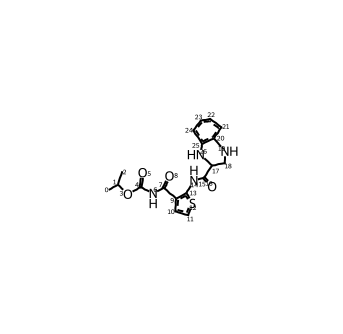 CC(C)OC(=O)NC(=O)c1ccsc1NC(=O)C1CNc2ccccc2N1